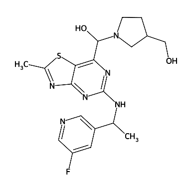 Cc1nc2nc(NC(C)c3cncc(F)c3)nc(C(O)N3CCC(CO)C3)c2s1